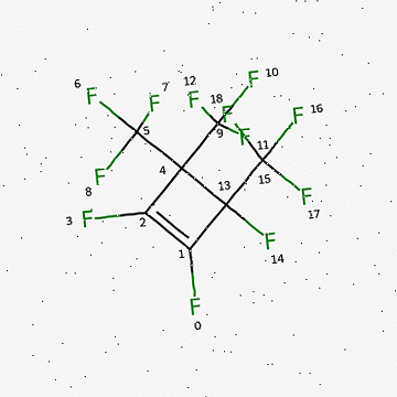 FC1=C(F)C(C(F)(F)F)(C(F)(F)F)C1(F)C(F)(F)F